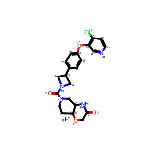 O=C1CO[C@H]2CCN(C(=O)N3CC(c4ccc(Oc5cnccc5Cl)cc4)C3)CC2N1